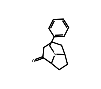 O=C1CCCC2CCC1N2Cc1ccccc1